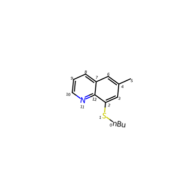 CCCCSc1cc(C)cc2cccnc12